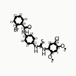 COc1cc(OC)c(NC(=S)Nc2ccc(NC(=O)c3ccccc3Br)cc2)cc1Cl